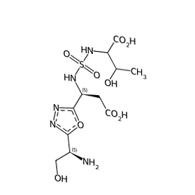 CC(O)C(NS(=O)(=O)N[C@@H](CC(=O)O)c1nnc([C@@H](N)CO)o1)C(=O)O